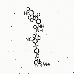 CSc1nccc(COc2ccc(C(C)(C)c3cc(Cl)c(OCCNC(=O)Nc4ccc5c(c4)C(=O)N(C4CCC(=O)NC4=O)C5=O)c(C#N)c3)cc2)n1